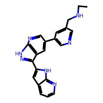 CCNCc1cncc(-c2cnc3[nH]nc(-c4cc5cccnc5[nH]4)c3c2)c1